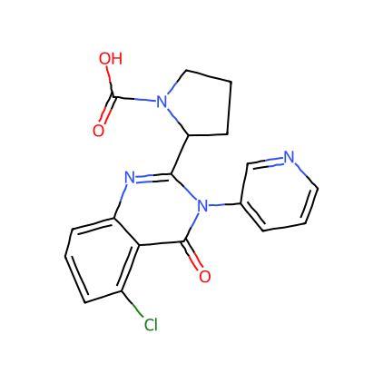 O=C(O)N1CCCC1c1nc2cccc(Cl)c2c(=O)n1-c1cccnc1